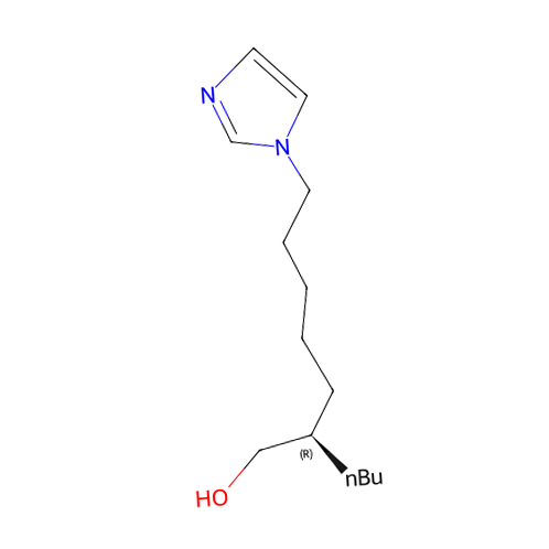 CCCC[C@@H](CO)CCCCCn1ccnc1